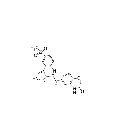 CS(=O)(=O)c1ccc2nc(Nc3ccc4c(c3)NC(=O)CO4)c3n[nH]cc3c2c1